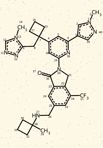 Cn1cc(-c2cc(C3(Cc4nncn4C)CCC3)cc(N3Cc4c(cc(CNC5(C)CCC5)cc4C(F)(F)F)C3=O)n2)cn1